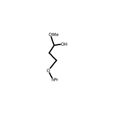 CCCOCCC(O)OC